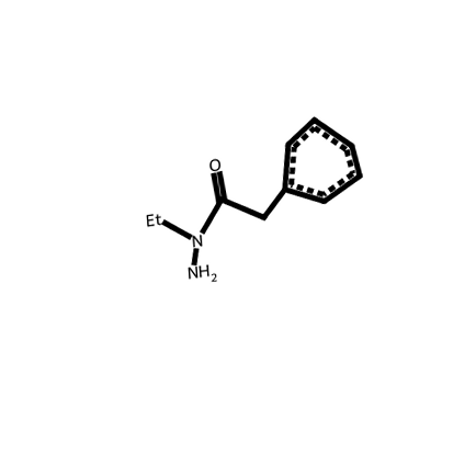 CCN(N)C(=O)Cc1ccccc1